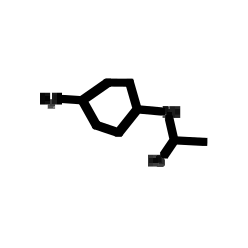 CC(S)NC1CCC(N)CC1